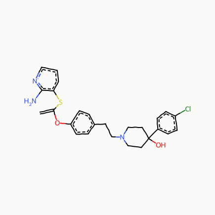 C=C(Oc1ccc(CCN2CCC(O)(c3ccc(Cl)cc3)CC2)cc1)Sc1cccnc1N